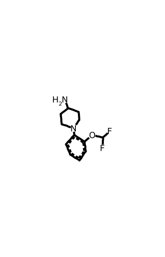 NC1CCN(c2ccccc2OC(F)F)CC1